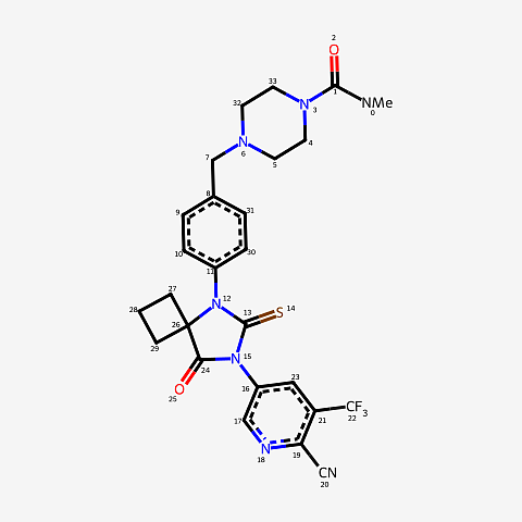 CNC(=O)N1CCN(Cc2ccc(N3C(=S)N(c4cnc(C#N)c(C(F)(F)F)c4)C(=O)C34CCC4)cc2)CC1